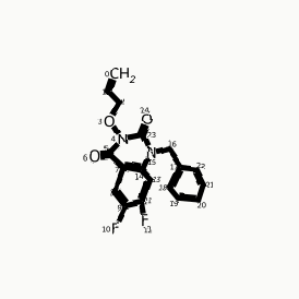 C=CCOn1c(=O)c2cc(F)c(F)cc2n(Cc2ccccc2)c1=O